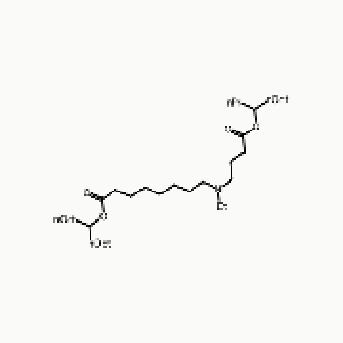 CCCCCCCCC(CCC)OC(=O)CCCN(CC)CCCCCCCC(=O)OC(CCCCCCCC)CCCCCCCC